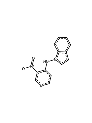 O=[N+]([O-])c1cnccc1Nn1ccc2ccccc21